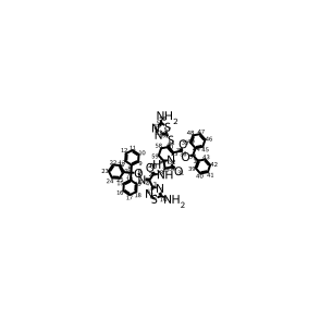 Nc1nc(/C(=N/OC(c2ccccc2)(c2ccccc2)c2ccccc2)C(=O)N[C@@H]2C(=O)N3C(C(=O)OC(c4ccccc4)c4ccccc4)=C(Sc4nnc(N)s4)CC[C@H]23)ns1